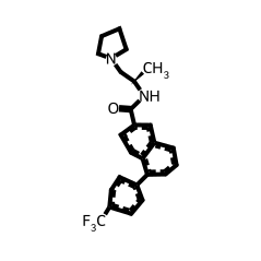 C[C@H](CN1CCCC1)NC(=O)c1ccc2c(-c3ccc(C(F)(F)F)cc3)cccc2c1